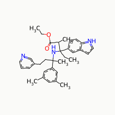 CCOC(=O)C(C)C(CC)(NC(C)(CCc1cccnc1)c1cc(C)cc(C)c1)c1ccc2[nH]ccc2c1